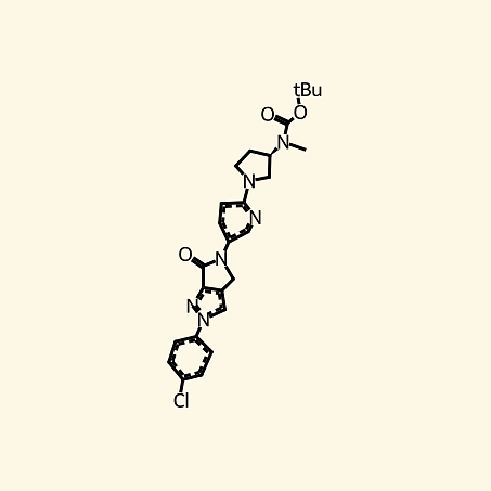 CN(C(=O)OC(C)(C)C)[C@@H]1CCN(c2ccc(N3Cc4cn(-c5ccc(Cl)cc5)nc4C3=O)cn2)C1